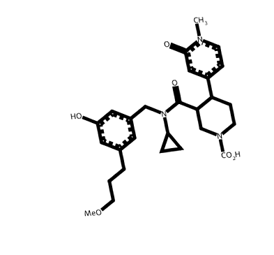 COCCCc1cc(O)cc(CN(C(=O)C2CN(C(=O)O)CCC2c2ccn(C)c(=O)c2)C2CC2)c1